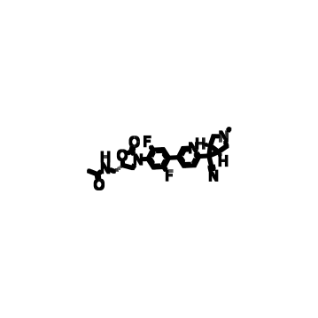 CC(=O)NC[C@H]1CN(c2cc(F)c(-c3ccc(C4(C#N)[C@@H]5CN(C)C[C@@H]54)nc3)cc2F)C(=O)O1